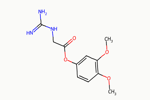 COc1ccc(OC(=O)CNC(=N)N)cc1OC